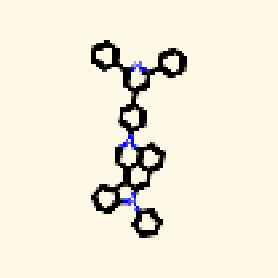 C1=CN(c2ccc(-c3cc(-c4ccccc4)nc(-c4ccccc4)c3)cc2)c2cccc3cc4c(c1c23)c1ccccc1n4-c1ccccc1